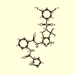 CC1(C)c2[nH]nc(NC(=O)c3ccccc3NC(=O)c3ccc[nH]3)c2CN1S(=O)(=O)c1cc(F)cc(F)c1